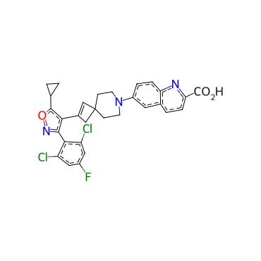 O=C(O)c1ccc2cc(N3CCC4(C=C(c5c(-c6c(Cl)cc(F)cc6Cl)noc5C5CC5)C4)CC3)ccc2n1